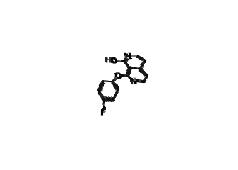 Oc1nccc2ccnc(Oc3ccc(F)cc3)c12